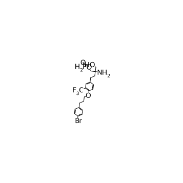 NC(CO)(CCc1ccc(OCCCc2ccc(Br)cc2)c(C(F)(F)F)c1)CO[PH2]=O